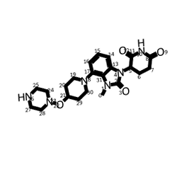 Cn1c(=O)n(C2CCC(=O)NC2=O)c2cccc(N3CCC(ON4CCNCC4)CC3)c21